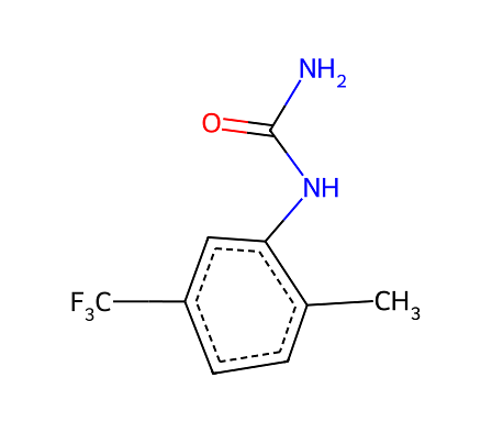 Cc1ccc(C(F)(F)F)cc1NC(N)=O